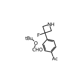 CC(=O)c1ccc(C2(F)CNC2)cc1.CC(C)(C)OC=O